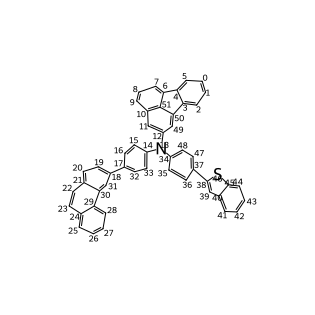 c1ccc2c(c1)-c1cccc3cc(N(c4ccc(-c5ccc6ccc7ccccc7c6c5)cc4)c4ccc(-c5cc6ccccc6s5)cc4)cc-2c13